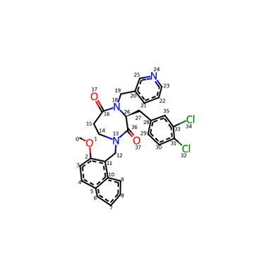 COc1ccc2ccccc2c1CN1CCC(=O)N(Cc2cccnc2)[C@@H](Cc2ccc(Cl)c(Cl)c2)C1=O